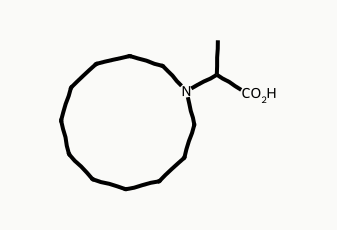 CC(C(=O)O)N1CCCCCCCCCCC1